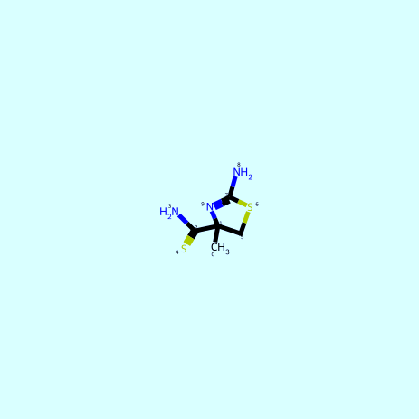 CC1(C(N)=S)CSC(N)=N1